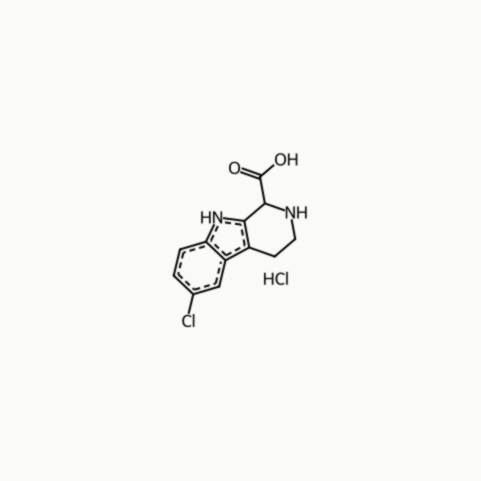 Cl.O=C(O)C1NCCc2c1[nH]c1ccc(Cl)cc21